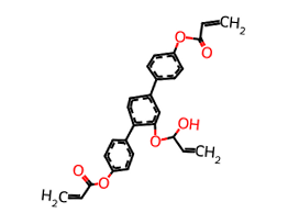 C=CC(=O)Oc1ccc(-c2ccc(-c3ccc(OC(=O)C=C)cc3)c(OC(O)C=C)c2)cc1